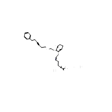 CN(O)C(=O)C(C)(C)CC/C=C\C[C@H]1[C@@H](CCOCCC#CCCc2ccccc2)[C@H]2CC[C@@H]1O2